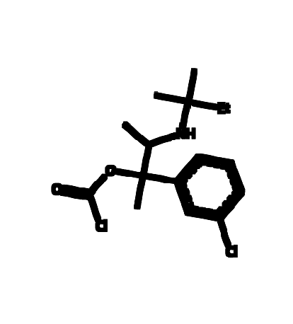 CCC(C)(C)NC(C)C(C)(OC(=O)Cl)c1cccc(Cl)c1